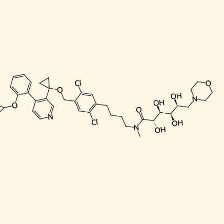 CN(CCCCc1cc(Cl)c(COC2(c3cnccc3-c3ccccc3OC3CC3)CC2)cc1Cl)C(=O)[C@@H](O)[C@@H](O)[C@H](O)[C@@H](O)CN1CCOCC1